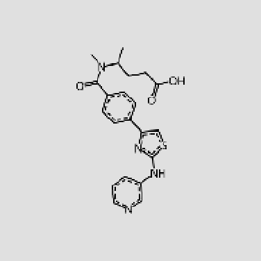 CC(CCC(=O)O)N(C)C(=O)c1ccc(-c2csc(Nc3cccnc3)n2)cc1